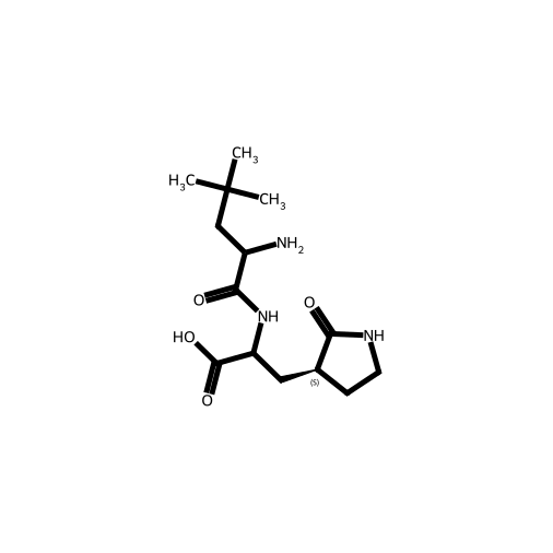 CC(C)(C)CC(N)C(=O)NC(C[C@@H]1CCNC1=O)C(=O)O